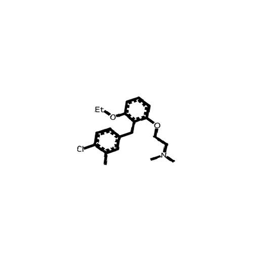 CCOc1cccc(OCCN(C)C)c1Cc1ccc(Cl)c(C)c1